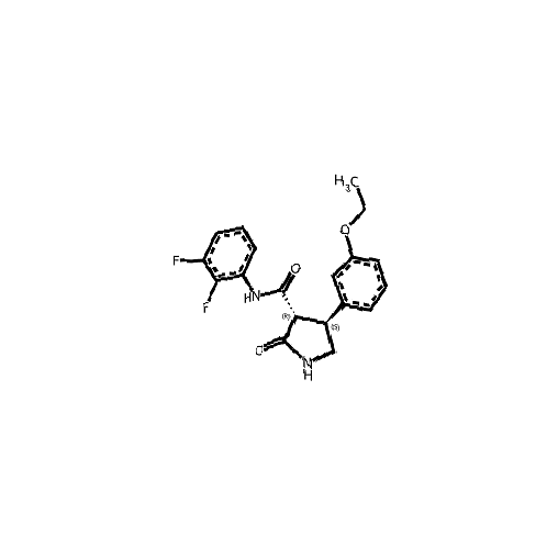 CCOc1cccc([C@H]2CNC(=O)[C@@H]2C(=O)Nc2cccc(F)c2F)c1